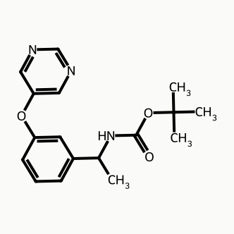 CC(NC(=O)OC(C)(C)C)c1cccc(Oc2cncnc2)c1